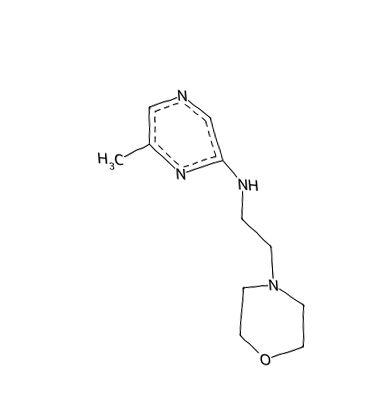 Cc1cncc(NCCN2CCOCC2)n1